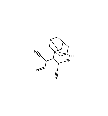 N#CC(C#N)C(C(C#N)C=N)C12CC3CC(CC(O)(C3)C1)C2